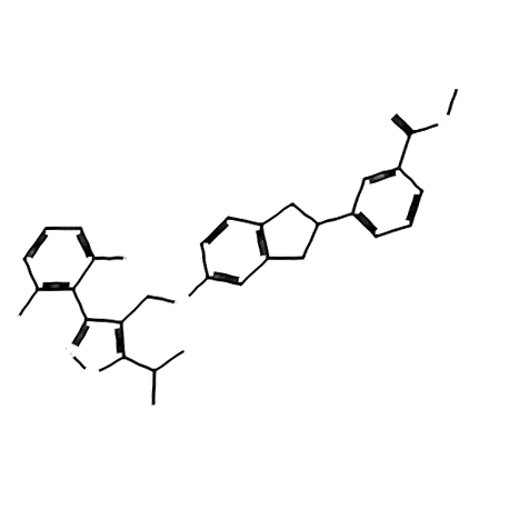 COC(=O)c1cccc(C2Cc3ccc(OCc4c(-c5c(Cl)cccc5Cl)noc4C(C)C)cc3C2)c1